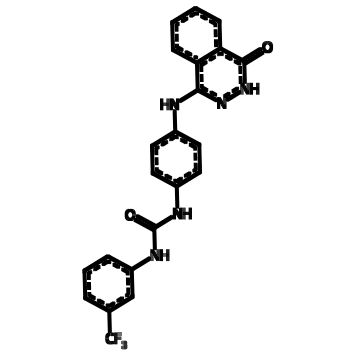 O=C(Nc1ccc(Nc2n[nH]c(=O)c3ccccc23)cc1)Nc1cccc(C(F)(F)F)c1